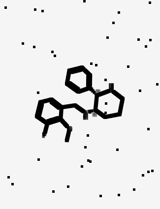 COc1c(F)cccc1CN[C@H]1CCCN[C@H]1c1ccccc1